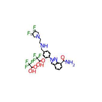 NC(=O)c1cccc2cn(-c3ccc(CNCCN4C[C@H](F)[C@@H](F)C4)cc3)nc12.O=C(O)C(F)(F)F.O=C(O)C(F)(F)F